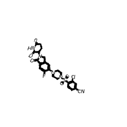 N#Cc1ccc(S(=O)(=O)N2CCN(c3cc4c(cc3F)C(=O)N(C3CCC(=O)NC3=O)C4)CC2)c(Cl)c1